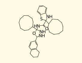 O=C(NC1(C2CCCCCCCCC2)NNC(c2ccc3c(c2)CCCC3)O1)C1(C2CCCCCCCCC2)Nc2ccccc2S1